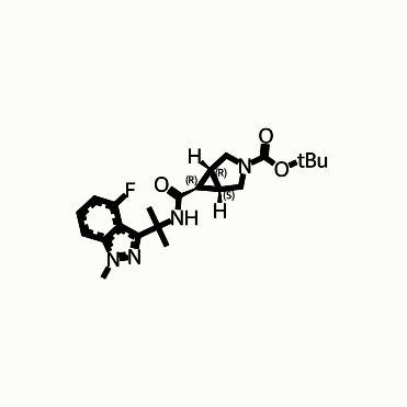 Cn1nc(C(C)(C)NC(=O)[C@H]2[C@@H]3CN(C(=O)OC(C)(C)C)C[C@@H]32)c2c(F)cccc21